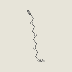 C#CCOCCOCCOCCO[CH2]